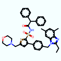 CCc1nc2c(C)cc(C)cc2n1Cc1ccc(-c2cc(CN3CCOCC3)sc2S(=O)(=O)NC(=O)C(c2ccccc2)c2ccccc2)cc1